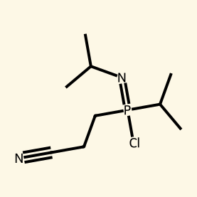 CC(C)N=P(Cl)(CCC#N)C(C)C